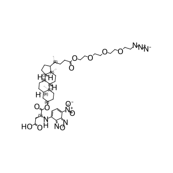 C[C@H](CCC(=O)OCCOCCOCCOCCN=[N+]=[N-])C1CC[C@H]2[C@@H]3CC[C@@H]4C[C@H](OC(=O)[C@H](CC(=O)O)Nc5ccc([N+](=O)[O-])c6nonc56)CC[C@]4(C)[C@H]3CC[C@]12C